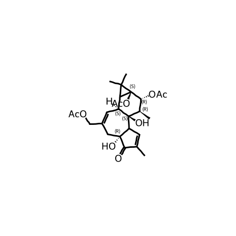 CC(=O)OCC1=C[C@H]2C3C(C)(C)[C@]3(OC(C)=O)[C@H](OC(C)=O)[C@@H](C)[C@]2(O)C2C=C(C)C(=O)[C@@]2(O)C1